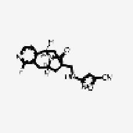 N#Cc1cc(NCC23C[C@H]4Cc5c(ccnc5F)[C@@H](C2)N4C3=O)no1